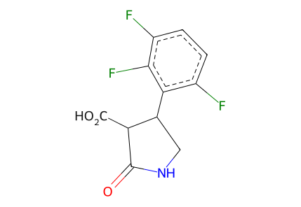 O=C(O)C1C(=O)NCC1c1c(F)ccc(F)c1F